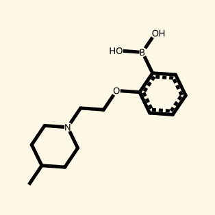 CC1CCN(CCOc2ccccc2B(O)O)CC1